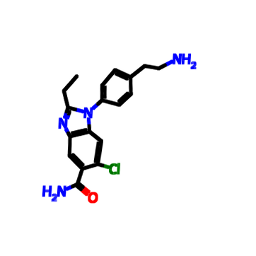 CCc1nc2cc(C(N)=O)c(Cl)cc2n1-c1ccc(CCN)cc1